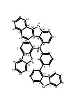 c1cc(-c2cccc3sc4ccccc4c23)cc(N(c2cccc3c2sc2ccccc23)c2cccc3oc4c5ccccc5ccc4c23)c1